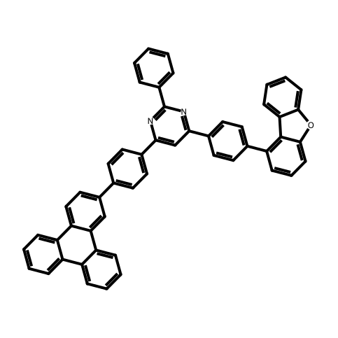 c1ccc(-c2nc(-c3ccc(-c4ccc5c6ccccc6c6ccccc6c5c4)cc3)cc(-c3ccc(-c4cccc5oc6ccccc6c45)cc3)n2)cc1